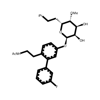 CO[C@@H]1[C@@H](O)[C@@H](O)[C@@H](Oc2ccc(CCNC(C)=O)c(-c3cccc(F)c3)c2)O[C@@H]1CCC(C)C